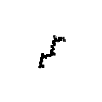 CC(C)=CCCC(C)=CCCC(C)=CCOCCC(=O)ON